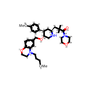 COCCCN1CCOc2ccc(CO[C@H]3CN[C@H](CC(C)(C)C(=O)N4CCOCC4)C[C@@H]3c3ccc(OC)cc3)cc21